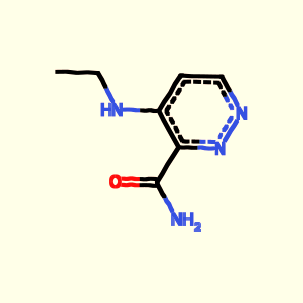 CCNc1ccnnc1C(N)=O